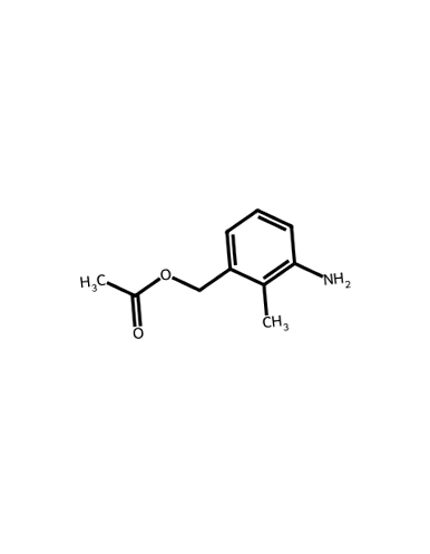 CC(=O)OCc1cccc(N)c1C